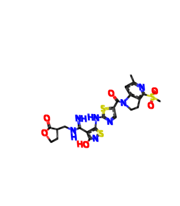 Cc1cc2c(c(S(C)(=O)=O)n1)CCN2C(=O)c1cnc(Nc2snc(O)c2C(=N)NCC2CCOC2=O)s1